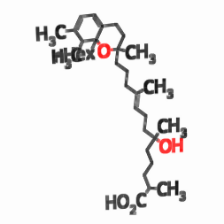 CCCCCCC12OC(C)(CCC/C(C)=C/CCC(C)(O)CCCC(C)C(=O)O)CCC1=CC=C(C)C2C